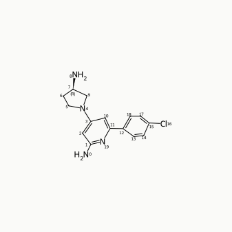 Nc1cc(N2CC[C@@H](N)C2)cc(-c2ccc(Cl)cc2)n1